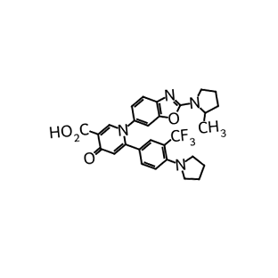 CC1CCCN1c1nc2ccc(-n3cc(C(=O)O)c(=O)cc3-c3ccc(N4CCCC4)c(C(F)(F)F)c3)cc2o1